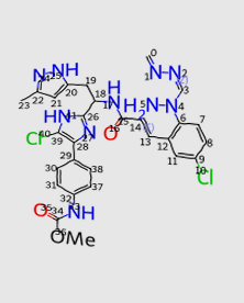 C=N/N=C\N(N)c1ccc(Cl)cc1/C=C/C(=O)NC(Cc1cc(C)n[nH]1)c1nc(-c2ccc(NC(=O)OC)cc2)c(Cl)[nH]1